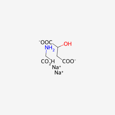 NCC(=O)O.O=C([O-])CC(O)C(=O)[O-].[Na+].[Na+]